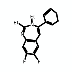 CCC1=Nc2cc(F)c(F)cc2C=C(C2=CCCC=C2)N1CC